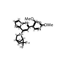 COc1ncc(-c2cc(N3CC4CC3C(F)(F)C4)c3nccn3n2)c(OC)n1